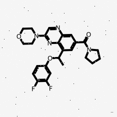 CC(Oc1ccc(F)c(F)c1)c1cc(C(=O)N2CCCC2)cc2ncc(N3CCOCC3)nc12